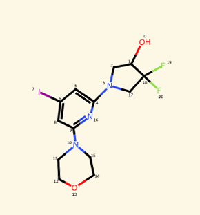 OC1CN(c2cc(I)cc(N3CCOCC3)n2)CC1(F)F